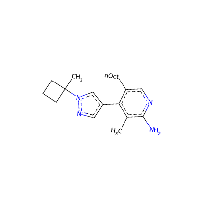 CCCCCCCCc1cnc(N)c(C)c1-c1cnn(C2(C)CCC2)c1